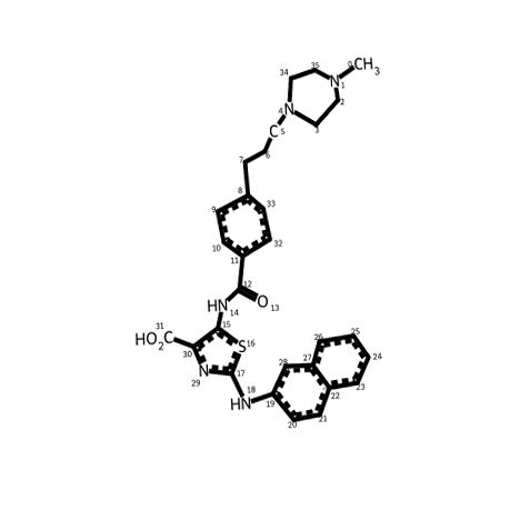 CN1CCN(CCCc2ccc(C(=O)Nc3sc(Nc4ccc5ccccc5c4)nc3C(=O)O)cc2)CC1